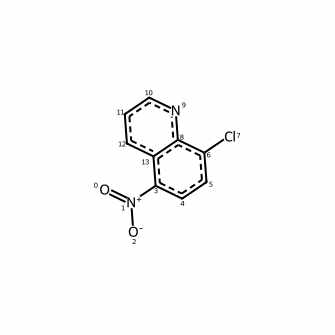 O=[N+]([O-])c1ccc(Cl)c2ncccc12